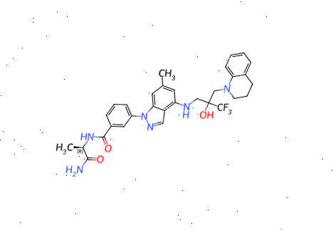 Cc1cc(NCC(O)(CN2CCCc3ccccc32)C(F)(F)F)c2cnn(-c3cccc(C(=O)N[C@H](C)C(N)=O)c3)c2c1